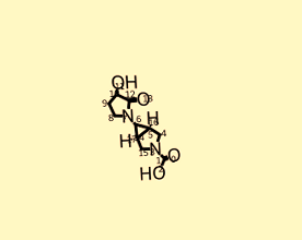 O=C(O)N1C[C@@H]2C(N3CCC(O)C3=O)[C@@H]2C1